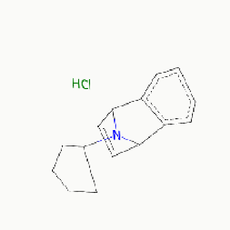 C1=CC2c3ccccc3C1N2C1CCCC1.Cl